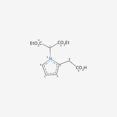 CCOC(=O)C(C(=O)OCC)n1cccc1CC(=O)O